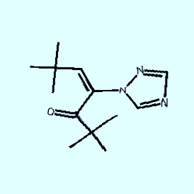 CC(C)(C)C=C(C(=O)C(C)(C)C)n1cncn1